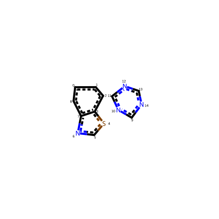 c1ccc2scnc2c1.c1ncncn1